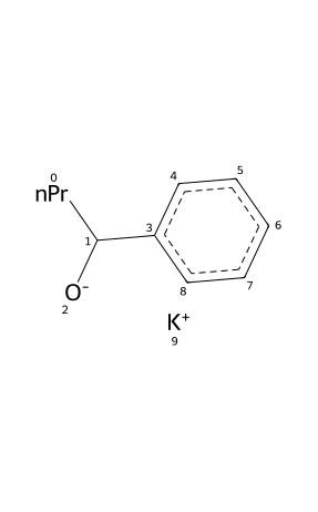 CCCC([O-])c1ccccc1.[K+]